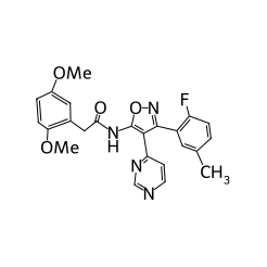 COc1ccc(OC)c(CC(=O)Nc2onc(-c3cc(C)ccc3F)c2-c2ccncn2)c1